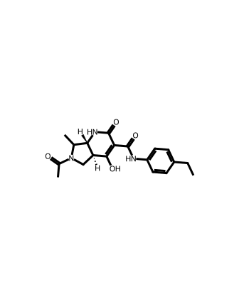 CCc1ccc(NC(=O)C2=C(O)[C@H]3CN(C(C)=O)C(C)[C@@H]3NC2=O)cc1